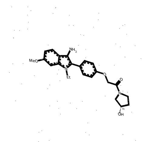 CCn1c(-c2ccc(OCC(=O)N3CC[C@H](O)C3)cc2)c(N)c2ccc(OC)cc21